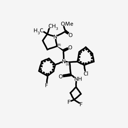 COC(=O)N1[C@@H](C(=O)N(c2cccc(F)c2)[C@H](C(=O)NC2CC(F)(F)C2)c2ccccc2Cl)CCC1(C)C